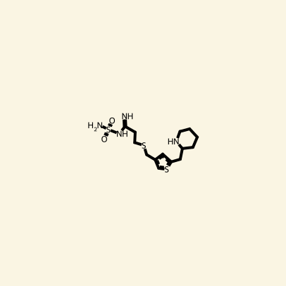 N=C(CCSCc1csc(CC2CCCCN2)c1)NS(N)(=O)=O